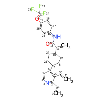 C=Cc1nccc(C2CCC(C(C)C(=O)Nc3ccc(OC(F)(F)F)cc3)CC2)c1C=C